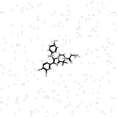 CC1(C)c2nc(-c3ccc(F)c(F)c3)c(Nc3ccc(F)cc3)n2CCN1C(=O)CN